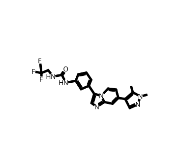 Cc1c(-c2ccn3c(-c4cccc(NC(=O)NCC(F)(F)F)c4)cnc3c2)cnn1C